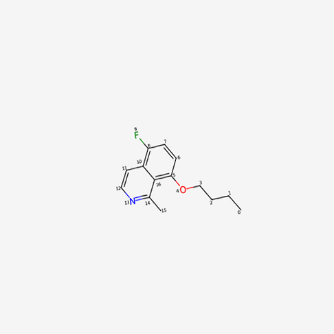 CCCCOc1ccc(F)c2ccnc(C)c12